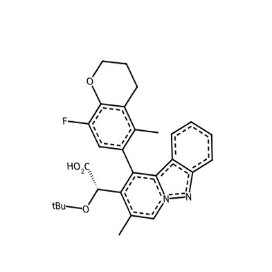 Cc1cn2nc3ccccc3c2c(-c2cc(F)c3c(c2C)CCCO3)c1[C@H](OC(C)(C)C)C(=O)O